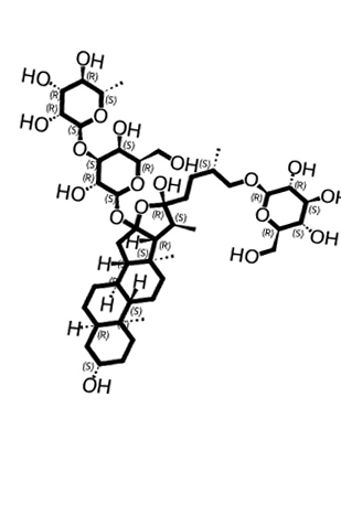 C[C@@H](CC[C@@]1(O)OC2(O[C@@H]3O[C@H](CO)[C@H](O)[C@H](O[C@@H]4O[C@@H](C)[C@H](O)[C@@H](O)[C@H]4O)[C@H]3O)C[C@H]3[C@@H]4CC[C@@H]5C[C@@H](O)CC[C@]5(C)[C@H]4CC[C@]3(C)[C@H]2[C@@H]1C)CO[C@@H]1O[C@H](CO)[C@@H](O)[C@H](O)[C@H]1O